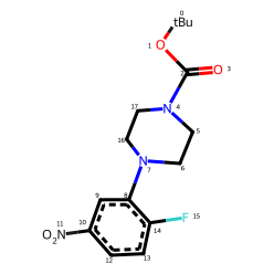 CC(C)(C)OC(=O)N1CCN(c2cc([N+](=O)[O-])ccc2F)CC1